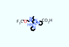 Cc1nn(CCOCC(F)(F)F)c2c(Nc3ccccn3)nc(N3CCC[C@@H](C(=O)O)C3)nc12